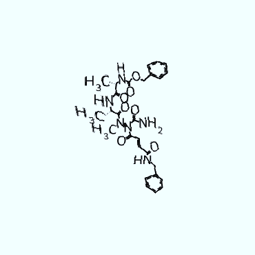 C[C@H](NC(=O)OCc1ccccc1)C(=O)N[C@@H](C)C(=O)N(C)N(C(N)=O)C(=O)/C=C/C(=O)NCc1ccccc1